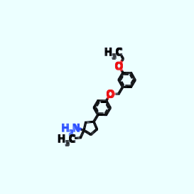 CCOc1cccc(COc2ccc(C3CC[C@](N)(CC)C3)cc2)c1